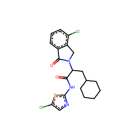 O=C(Nc1ncc(Cl)s1)C(CC1CCCCC1)N1Cc2c(Cl)cccc2C1=O